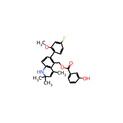 COc1cc(F)ccc1-c1ccc2c(c1COC(=O)c1cccc(O)c1)C(C)=CC(C)(C)N2